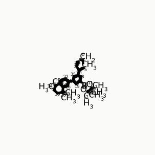 C=N/C=C\C(=C/C)c1cc(B2OC(C)(C)C(C)(C)O2)cc(-c2ccc3c(c2)C(C)(C)CCC3(C)C)c1